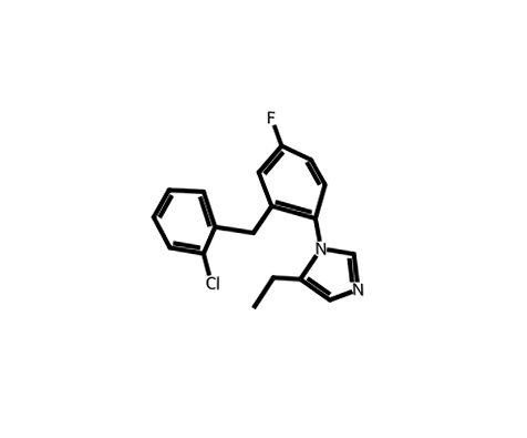 CCc1cncn1-c1ccc(F)cc1Cc1ccccc1Cl